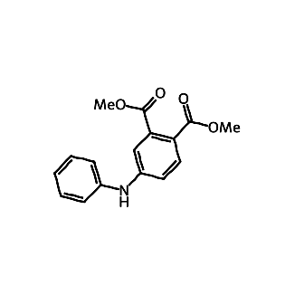 COC(=O)c1ccc(Nc2ccccc2)cc1C(=O)OC